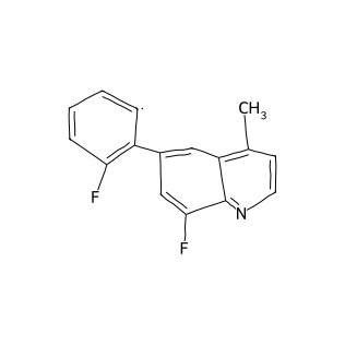 Cc1ccnc2c(F)cc(-c3[c]cccc3F)cc12